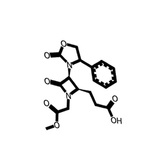 COC(=O)CN1C(=O)[C@@H](N2C(=O)OCC2c2ccccc2)[C@H]1CCC(=O)O